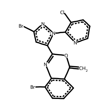 C=C1OC(c2cc(Br)nn2-c2ncccc2Cl)=Nc2c(Br)cccc21